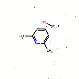 Cc1cccc(C)n1.O=S(=O)(O)O